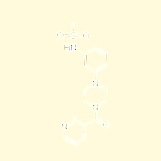 CS(=O)(=O)Nc1cccc(N2CCN(C(=O)c3[c]nccc3)CC2)c1